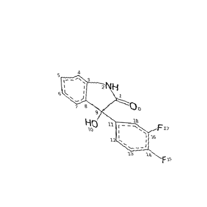 O=C1Nc2ccccc2C1(O)c1ccc(F)c(F)c1